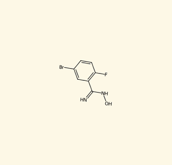 N=C(NO)c1cc(Br)ccc1F